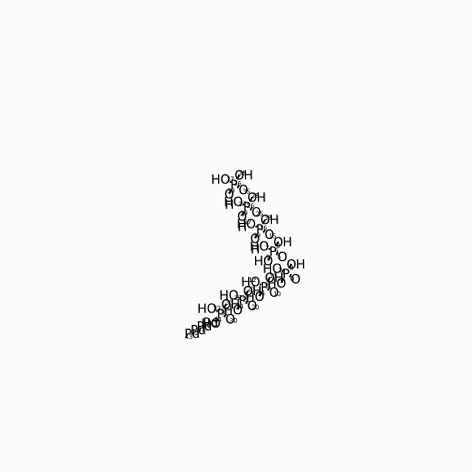 O=P(O)(O)O.O=P(O)(O)O.O=P(O)(O)O.O=P(O)(O)O.O=P(O)(O)O.O=P(O)(O)O.O=P(O)(O)O.O=P(O)(O)O.[Pd].[Pd].[Pd].[Pd]